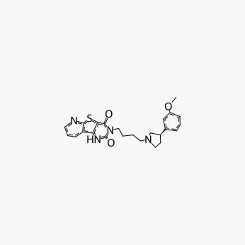 COc1cccc([C@H]2CCN(CCCCn3c(=O)[nH]c4c(sc5ncccc54)c3=O)C2)c1